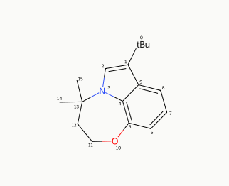 CC(C)(C)c1cn2c3c(cccc13)OCCC2(C)C